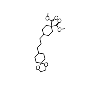 COC(=O)C1(C(=O)OC)CCC(CCCC2CCC3(CC2)OCCO3)CC1